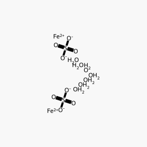 O.O.O.O.O.O.O.O=S(=O)([O-])[O-].O=S(=O)([O-])[O-].[Fe+2].[Fe+2]